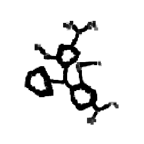 CCOc1cc(N(C)C)ccc1C(c1ccccc1)c1ccc(N(C)C)cc1OCC